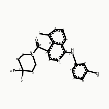 Cc1cccc2c(Nc3cccc(Cl)c3)ncc(C(=O)N3CCC(F)(F)CC3)c12